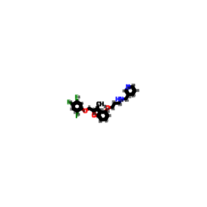 Cc1c(COc2cc(F)c(F)cc2F)oc2cccc(OCCCNCc3cccnc3)c12